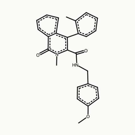 COc1ccc(CNC(=O)c2c(-c3ccccc3C)c3ccccc3c(=O)n2C)cc1